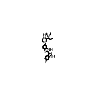 CCC(C1CN(c2ccc3nc(-c4n[nH]c5cc(F)ccc45)[nH]c3c2)CCN1)N(CC)CC